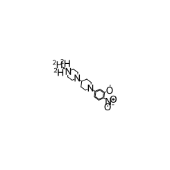 [2H]C([2H])([2H])N1CCN(C2CCN(c3ccc([N+](=O)[O-])c(OC)c3)CC2)CC1